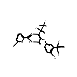 O=c1[nH]c(-c2cccc(Cl)n2)nc(C(F)(F)C(F)(F)F)c1Oc1ccc(Cl)c(C(F)(F)F)c1